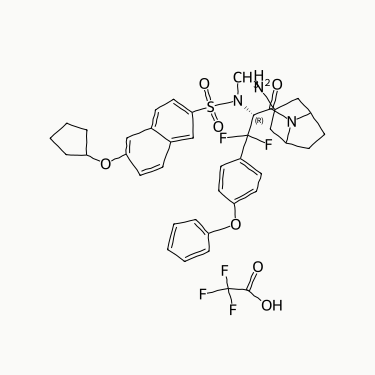 CN([C@H](C(=O)N1C2CCC1CC(N)C2)C(F)(F)c1ccc(Oc2ccccc2)cc1)S(=O)(=O)c1ccc2cc(OC3CCCC3)ccc2c1.O=C(O)C(F)(F)F